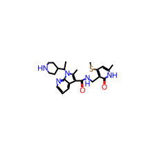 CSc1cc(C)[nH]c(=O)c1CNC(=O)c1c(C)n(C(C)C2CCNCC2)c2ncccc12